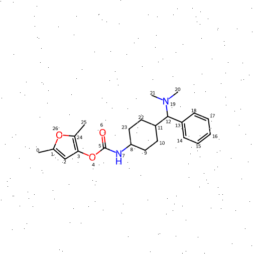 Cc1cc(OC(=O)NC2CCC(C(c3ccccc3)N(C)C)CC2)c(C)o1